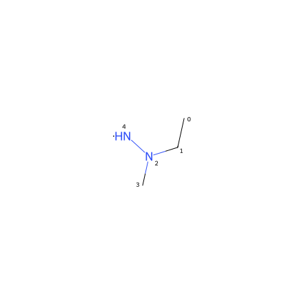 CCN(C)[NH]